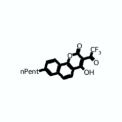 CCCCCc1ccc2c(ccc3c(O)c(C(=O)C(F)(F)F)c(=O)oc32)c1